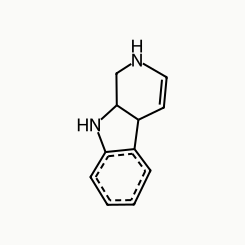 C1=CC2c3ccccc3NC2CN1